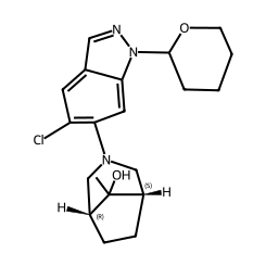 CC1(O)[C@@H]2CC[C@H]1CN(c1cc3c(cnn3C3CCCCO3)cc1Cl)C2